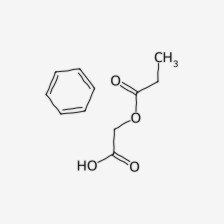 CCC(=O)OCC(=O)O.c1ccccc1